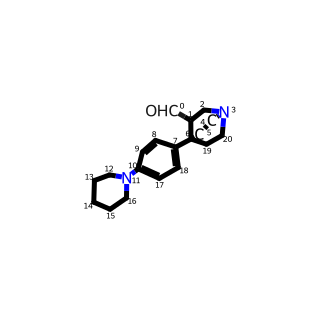 O=CC1CN2CCC1(c1ccc(N3CCCCC3)cc1)CC2